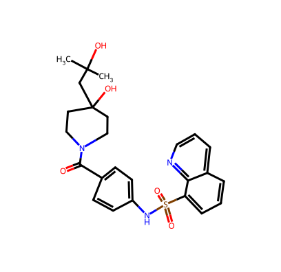 CC(C)(O)CC1(O)CCN(C(=O)c2ccc(NS(=O)(=O)c3cccc4cccnc34)cc2)CC1